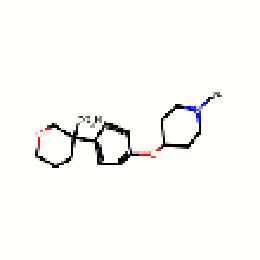 CC(C)N1CCC(Oc2ccc(C3(C(=O)O)CCCOC3)cc2)CC1